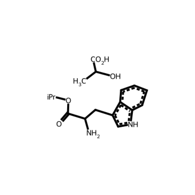 CC(C)OC(=O)C(N)Cc1c[nH]c2ccccc12.CC(O)C(=O)O